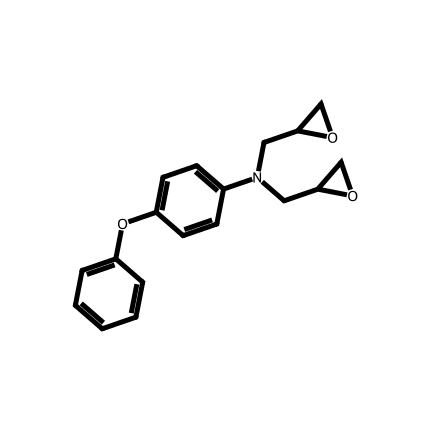 c1ccc(Oc2ccc(N(CC3CO3)CC3CO3)cc2)cc1